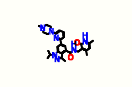 Cc1cc(C)c(CNC(=O)c2cc(-c3cccc(N4CCN(C)CC4)n3)cc3c2c(C)nn3C(C)C)c(=O)[nH]1